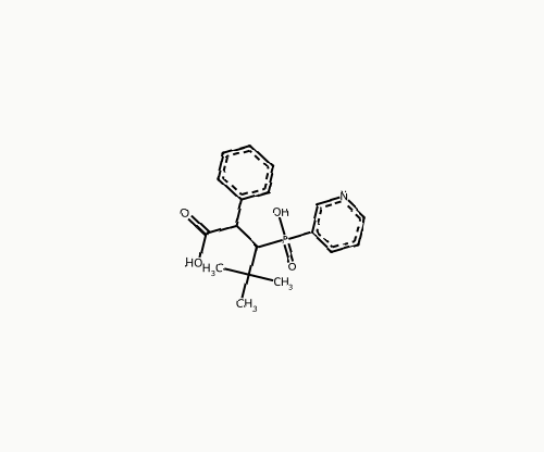 CC(C)(C)C(C(C(=O)O)c1ccccc1)P(=O)(O)c1cccnc1